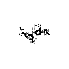 CCOC(=O)c1cn2cc(C(F)(F)F)cc(Nc3ccc(-n4cnc(C)n4)c(CO)c3)c2n1